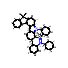 CC1(C)c2ccccc2-c2c1ccc1c2c2ccc(-c3ccccc3Nc3ccccc3)c3c2n1-c1ccccc1B3